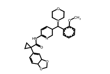 COc1ccccc1C(C1C=CC(NC(=O)C2(C3=CC4OCOC4C=C3)CC2)=NC1)N1CCOCC1